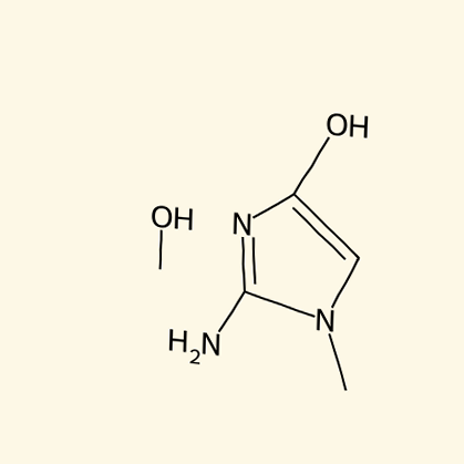 CO.Cn1cc(O)nc1N